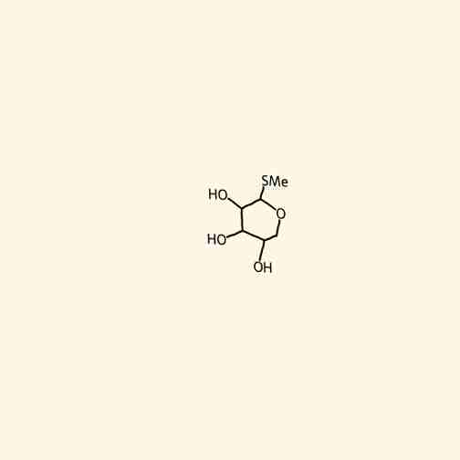 CSC1OCC(O)C(O)C1O